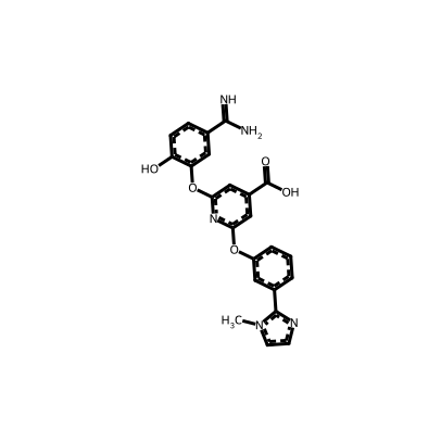 Cn1ccnc1-c1cccc(Oc2cc(C(=O)O)cc(Oc3cc(C(=N)N)ccc3O)n2)c1